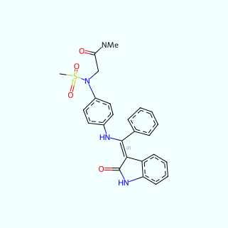 CNC(=O)CN(c1ccc(N/C(=C2\C(=O)Nc3ccccc32)c2ccccc2)cc1)S(C)(=O)=O